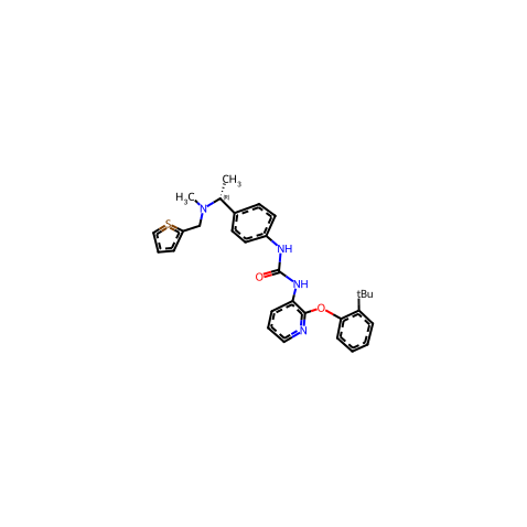 C[C@H](c1ccc(NC(=O)Nc2cccnc2Oc2ccccc2C(C)(C)C)cc1)N(C)Cc1cccs1